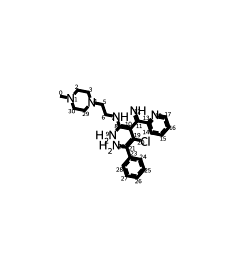 CN1CCN(CCN/C(N)=C(C(=N)c2ccccn2)/C(Cl)=C(\N)c2ccccc2)CC1